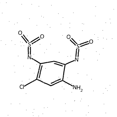 Nc1cc(Cl)c(N=S(=O)=O)cc1N=S(=O)=O